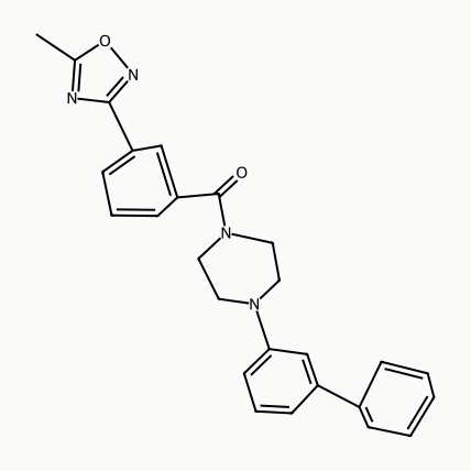 Cc1nc(-c2cccc(C(=O)N3CCN(c4cccc(-c5ccccc5)c4)CC3)c2)no1